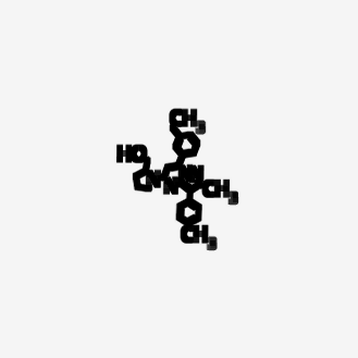 CCc1cccc(-c2cc(N3CCCC3CO)nc3c(-c4ccc(C)cc4)c(C)nn23)c1